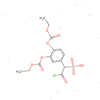 CCOC(=O)Oc1ccc(C(C(=O)Cl)S(=O)(=O)O)cc1OC(=O)OCC